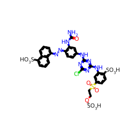 NC(=O)Nc1cc(Nc2nc(Cl)nc(Nc3cc(S(=O)(=O)CCOS(=O)(=O)O)ccc3S(=O)(=O)O)n2)ccc1N=Nc1cccc2c(S(=O)(=O)O)cccc12